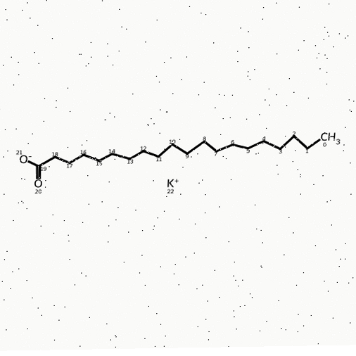 CCCCCCCCCCCCCCCCCCCC(=O)[O-].[K+]